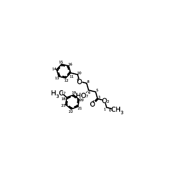 CCOC(=O)C[C@H](O)COCc1ccccc1.Cc1ccccc1